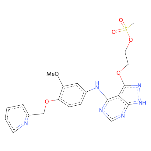 COc1cc(Nc2ncnc3[nH]nc(OCCOS(C)(=O)=O)c23)ccc1OCc1ccccn1